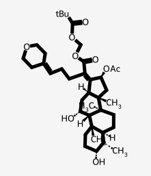 CC(=O)O[C@H]1C[C@@]2(C)[C@@H](C[C@@H](O)[C@H]3[C@@]4(C)CC[C@@H](O)[C@@H](C)[C@@H]4CC[C@@]32C)/C1=C(\CCC=C1CCOCC1)C(=O)OCOC(=O)C(C)(C)C